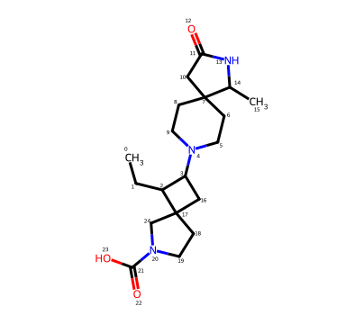 CCC1C(N2CCC3(CC2)CC(=O)NC3C)CC12CCN(C(=O)O)C2